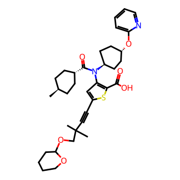 CC(C)(C#Cc1cc(N(C(=O)[C@H]2CC[C@H](C)CC2)[C@H]2CC[C@H](Oc3ccccn3)CC2)c(C(=O)O)s1)COC1CCCCO1